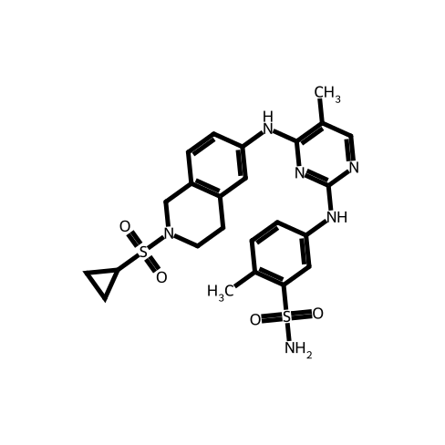 Cc1ccc(Nc2ncc(C)c(Nc3ccc4c(c3)CCN(S(=O)(=O)C3CC3)C4)n2)cc1S(N)(=O)=O